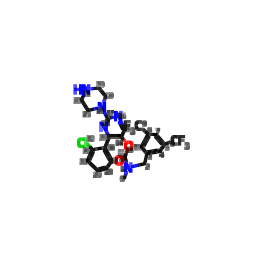 CN(Cc1cc(C(F)(F)F)cc(C(F)(F)F)c1)C(=O)Oc1cnc(N2CCNCC2)nc1-c1ccccc1Cl